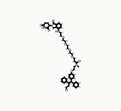 CN(CCOc1ccc(/C(=C(/CCCl)c2ccccc2)c2ccccc2)cc1)C(=O)CCOCCOCCOCCOCCNc1cccc2c1CN(C1CCC(=O)NC1=O)C2=O